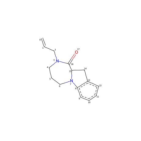 C=CCN1CCCN2c3ccccc3CC2C1=O